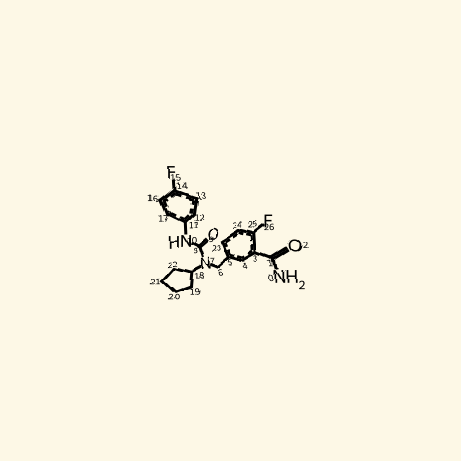 NC(=O)c1cc(CN(C(=O)Nc2ccc(F)cc2)C2CCCC2)ccc1F